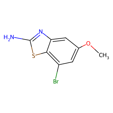 COc1cc(Br)c2sc(N)nc2c1